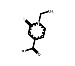 CCn1ccc(C(=O)O)cc1=O